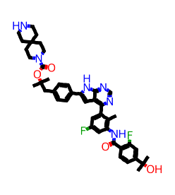 Cc1c(NC(=O)c2ccc(C(C)(C)O)cc2F)cc(F)cc1-c1ncnc2[nH]c(-c3ccc(CC(C)(C)OC(=O)N4CCC5(CCNCC5)CC4)cc3)cc12